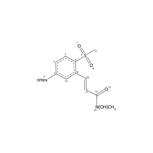 CCCCCCc1ccc(S(C)(=O)=O)c(C=CC(=O)N(C)O)c1